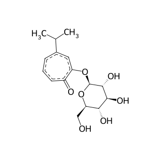 CC(C)c1cccc(=O)c(O[C@@H]2O[C@H](CO)[C@@H](O)[C@H](O)[C@H]2O)c1